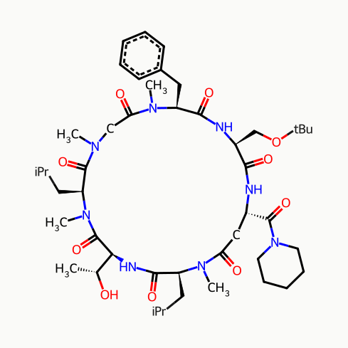 CC(C)C[C@H]1C(=O)N[C@@H]([C@@H](C)O)C(=O)N(C)[C@@H](CC(C)C)C(=O)N(C)CC(=O)N(C)[C@@H](Cc2ccccc2)C(=O)N[C@@H](COC(C)(C)C)C(=O)N[C@H](C(=O)N2CCCCC2)CC(=O)N1C